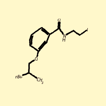 CCCCC(C)COc1cccc(C(=O)NCCI)c1